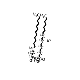 CCCCCCCCCCCC[13CH2][13CH2][13CH2][13C](=O)[O-].CCCCCCC[13CH2]C[13CH2]C[13CH2]C[13CH2]C[13C](=O)O.[K+]